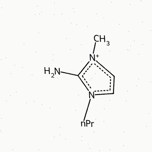 CCCn1cc[n+](C)c1N